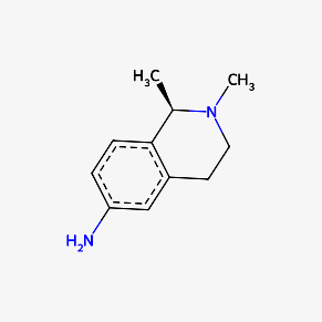 C[C@@H]1c2ccc(N)cc2CCN1C